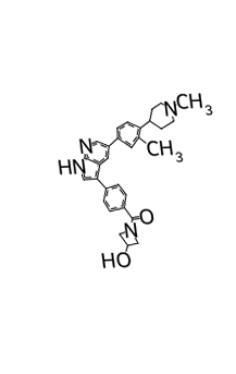 Cc1cc(-c2cnc3[nH]cc(-c4ccc(C(=O)N5CC(O)C5)cc4)c3c2)ccc1C1CCN(C)CC1